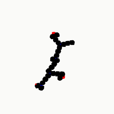 c1ccc(-c2ccc(-c3ccc(N(c4ccc(-c5ccc(-c6ccc(-n7c8ccccc8c8c(-c9ccc(-c%10ccc(-c%11cccc(N(c%12ccc(-c%13ccc(-c%14ccc(-n%15c%16ccccc%16c%16ccccc%16%15)cc%14)cc%13)cc%12)c%12ccc(-c%13ccc(-c%14cccc%15oc%16ccccc%16c%14%15)cc%13)cc%12)c%11)cc%10)cc9)cccc87)cc6)cc5)cc4)c4ccc(-c5ccc(-c6cccc7oc8ccccc8c67)cc5)cc4)cc3)cc2)cc1